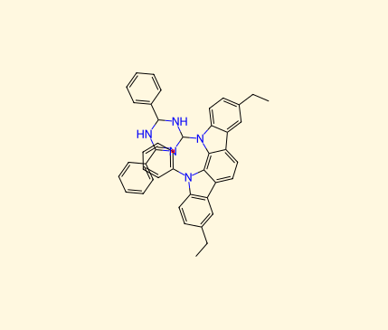 CCc1ccc2c(c1)c1ccc3c4cc(CC)ccc4n(C4N=C(c5ccccc5)NC(c5ccccc5)N4)c3c1n2-c1ccccc1